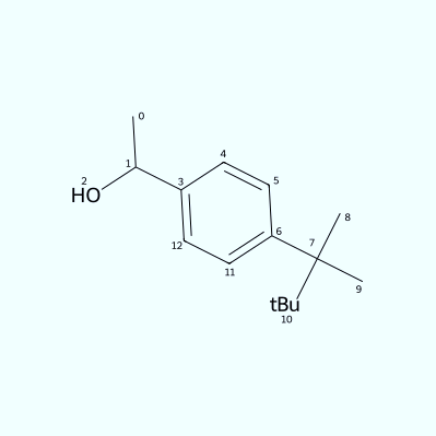 CC(O)c1ccc(C(C)(C)C(C)(C)C)cc1